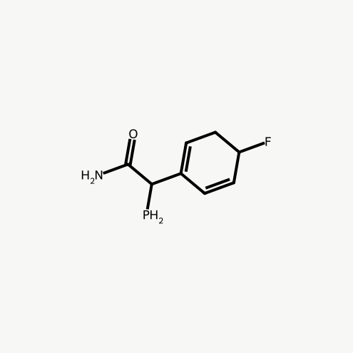 NC(=O)C(P)C1=CCC(F)C=C1